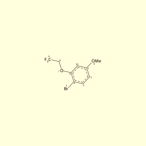 COc1ccc(Br)c(OCC(F)(F)F)c1